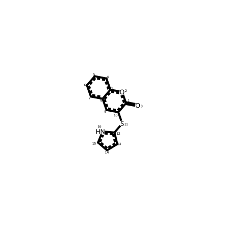 O=c1oc2ccccc2cc1Sc1ccc[nH]1